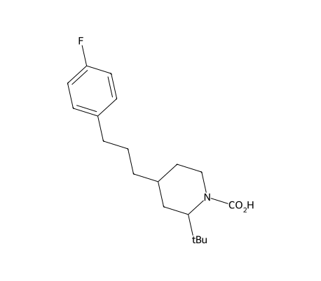 CC(C)(C)C1CC(CCCc2ccc(F)cc2)CCN1C(=O)O